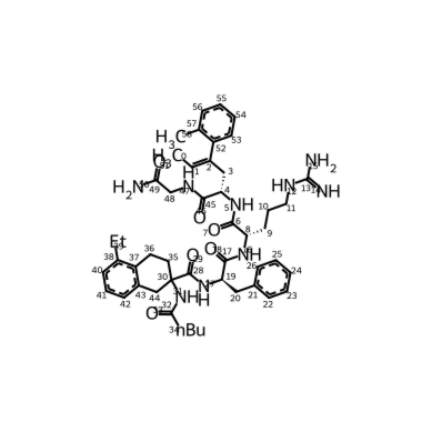 C/C=C(/C[C@H](NC(=O)[C@H](CCCNC(=N)N)NC(=O)[C@@H](Cc1ccccc1)NC(=O)C1(NC(=O)CCCC)CCc2c(CC)cccc2C1)C(=O)NCC(N)=O)c1ccccc1C